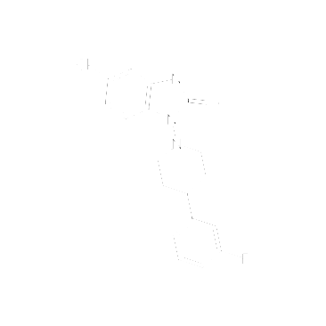 O=C1[N]c2cc(Cl)ccc2N1N1CCC(c2cccc(F)c2)CC1